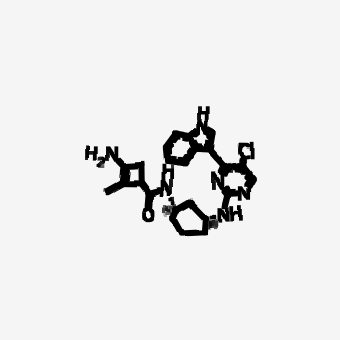 CC1=C(N)CC1C(=O)N[C@H]1CCC[C@@H](Nc2ncc(Cl)c(-c3c[nH]c4ccccc34)n2)C1